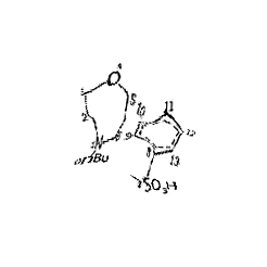 CCCCN1CCOCC1.O=S(=O)(O)c1ccccc1